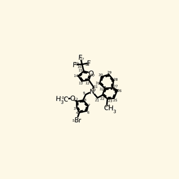 COc1cc(Br)ccc1CN(Cc1ccc(C(F)(F)F)o1)Cc1c(C)ccc2ccccc12